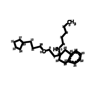 CCCCCNC1(CCOCCCC2CCCC2)CCc2ccccc2C1